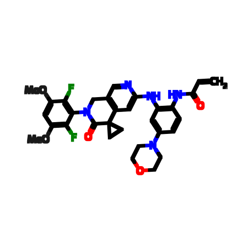 C=CC(=O)Nc1ccc(N2CCOCC2)cc1Nc1cc2c(cn1)CN(c1c(F)c(OC)cc(OC)c1F)C(=O)C21CC1